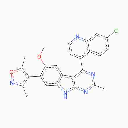 COc1cc2c(cc1-c1c(C)noc1C)[nH]c1nc(C)nc(-c3ccnc4cc(Cl)ccc34)c12